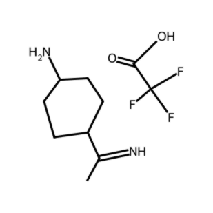 CC(=N)C1CCC(N)CC1.O=C(O)C(F)(F)F